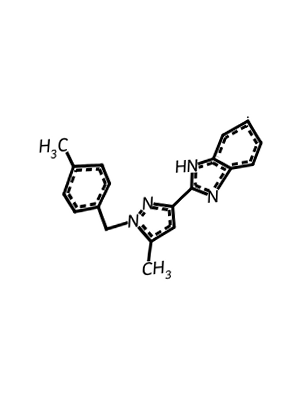 Cc1ccc(Cn2nc(-c3nc4cc[c]cc4[nH]3)cc2C)cc1